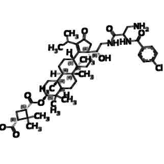 CC(C)C1=C2[C@H]3CC[C@@H]4[C@@]5(C)CC[C@H](OC(=O)[C@H]6C[C@@H](C(=O)O)C6(C)C)C(C)(C)[C@@H]5CC[C@@]4(C)[C@]3(C)CC[C@@]2([C@@H](O)CNC(=O)C(CN)NC(=O)c2ccc(Cl)cc2)CC1=O